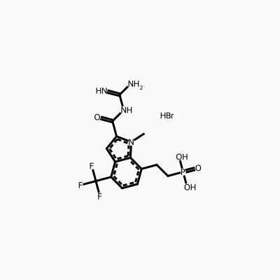 Br.Cn1c(C(=O)NC(=N)N)cc2c(C(F)(F)F)ccc(CCP(=O)(O)O)c21